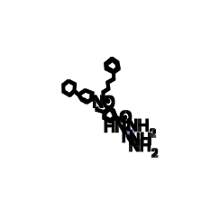 NN/N=C(\N)NC(=O)c1ccc(CN(C(=O)CCCCc2ccccc2)C2=CCC(C3CCCCC3)C=C2)cc1